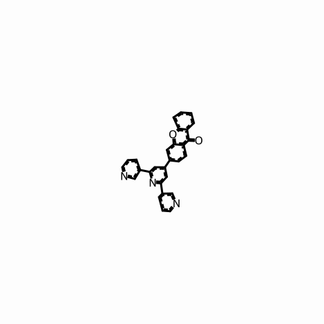 O=c1c2ccccc2oc2cc(-c3cc(-c4cccnc4)nc(-c4cccnc4)c3)ccc12